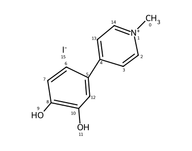 C[n+]1ccc(-c2ccc(O)c(O)c2)cc1.[I-]